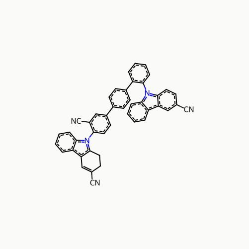 N#CC1=Cc2c(n(-c3ccc(-c4ccc(-c5ccccc5-n5c6ccccc6c6cc(C#N)ccc65)cc4)cc3C#N)c3ccccc23)CC1